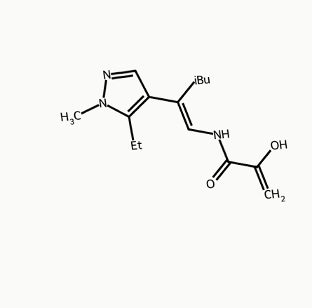 C=C(O)C(=O)N/C=C(/c1cnn(C)c1CC)C(C)CC